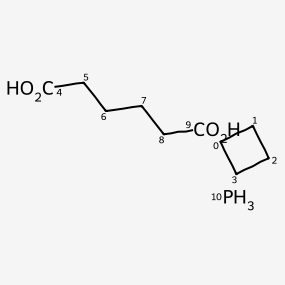 C1CCC1.O=C(O)CCCCC(=O)O.P